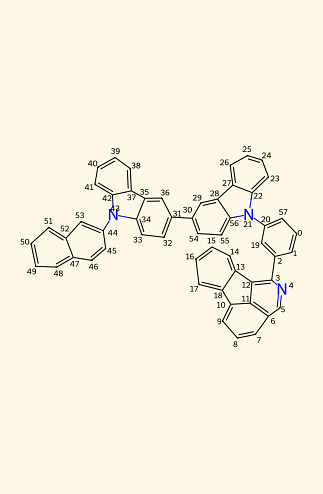 c1cc(-c2ncc3cccc4c3c2-c2ccccc2-4)cc(-n2c3ccccc3c3cc(-c4ccc5c(c4)c4ccccc4n5-c4ccc5ccccc5c4)ccc32)c1